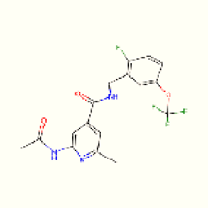 CC(=O)Nc1cc(C(=O)NCc2cc(OC(F)(F)F)ccc2F)cc(C)n1